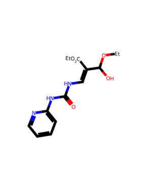 CCOC(=O)/C(=C\NC(=O)Nc1ccccn1)C(O)OCC